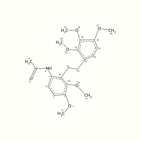 COc1ccc(NC(C)=O)c(CCc2ccc(OC)c(OC)c2OC)c1OC